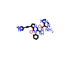 C[C@H](NC(=O)c1c(N)ncn2ccnc12)c1cn2ccc(C#Cc3cnn(C)c3)c2c(=O)n1-c1ccccc1